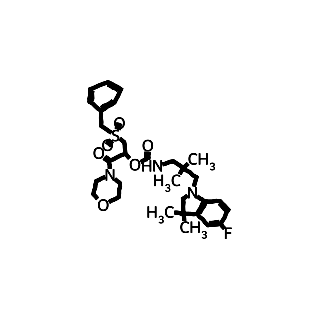 CC(C)(CNC(=O)OC(CS(=O)(=O)Cc1ccccc1)C(=O)N1CCOCC1)CN1CC(C)(C)c2cc(F)ccc21